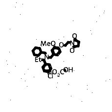 CCC(c1ccc(Cl)cc1)N(Cc1ccc(OCCN2C(=O)CCC2=O)c(OC)c1)CC1CCCCC1.O=C(O)O